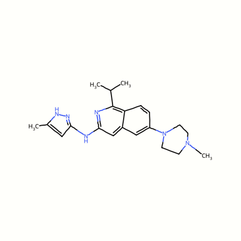 Cc1cc(Nc2cc3cc(N4CCN(C)CC4)ccc3c(C(C)C)n2)n[nH]1